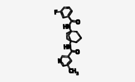 Cc1cncc(C(=O)NC23CCCC(NC(=O)c4cccc(F)c4)(CC2)C3)c1